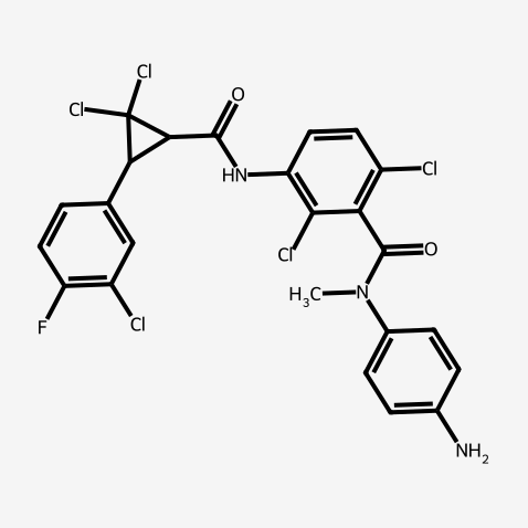 CN(C(=O)c1c(Cl)ccc(NC(=O)C2C(c3ccc(F)c(Cl)c3)C2(Cl)Cl)c1Cl)c1ccc(N)cc1